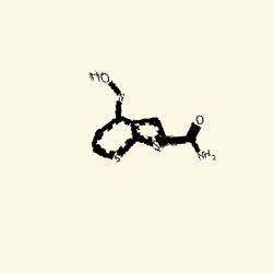 NC(=O)c1cc2c(=NO)ccsc2s1